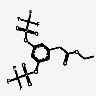 CCOC(=O)Cc1cc(OS(=O)(=O)C(F)(F)F)cc(OS(=O)(=O)C(F)(F)F)c1